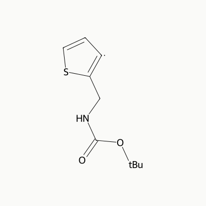 CC(C)(C)OC(=O)NCc1[c]ccs1